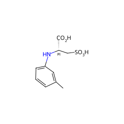 Cc1cccc(N[C@@H](CS(=O)(=O)O)C(=O)O)c1